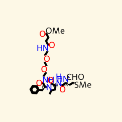 COC(=O)CCC(=O)NCCOCCOCCNC(=O)[C@H](Cc1ccccc1)N1C(=O)[C@@H](NC(=O)[C@H](CCSC)NC=O)CC1C